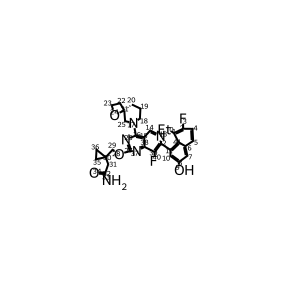 CCc1c(F)ccc2cc(O)cc(-c3ncc4c(N5CCC[C@]6(CCO6)C5)nc(OCC5(CC(N)=O)CC5)nc4c3F)c12